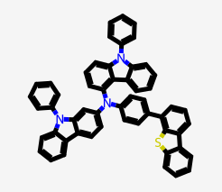 c1ccc(-n2c3ccccc3c3ccc(N(c4ccc(-c5cccc6c5sc5ccccc56)cc4)c4cccc5c4c4ccccc4n5-c4ccccc4)cc32)cc1